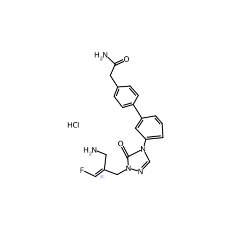 Cl.NC/C(=C\F)Cn1ncn(-c2cccc(-c3ccc(CC(N)=O)cc3)c2)c1=O